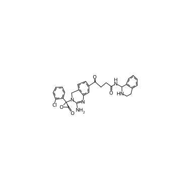 NC1=Nc2cc(C(=O)CCC(=O)NC3NCCc4ccccc43)ccc2CN1C1(c2ccccc2Cl)OC1=O